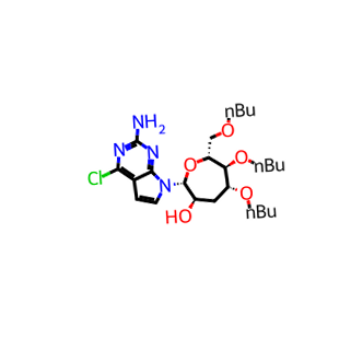 CCCCOC[C@H]1O[C@@H](n2ccc3c(Cl)nc(N)nc32)[C@H](O)C[C@@H](OCCCC)[C@@H]1OCCCC